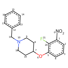 O=[N+]([O-])c1cccc(OC2CCN(Cc3ccccc3)CC2)c1F